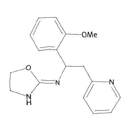 COc1ccccc1C(Cc1ccccn1)/N=C1/NCCO1